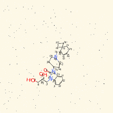 O=c1n(C[C@@H](O)CO)c2ccccc2n1C1CCN(C[C@H]2CCCCC23CCC3)CC1